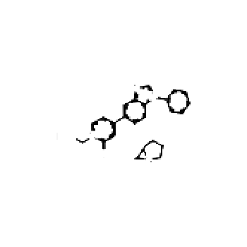 C1CC2CN2C1.CCn1ccc(-c2ccc3c(c2)ncn3-c2ccccc2)cc1=O